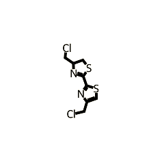 ClCc1csc(C2=NC(CCl)CS2)n1